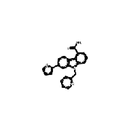 NC(=O)c1cccc2c1c1[c]cc(-c3ccco3)cc1n2Cc1ccccn1